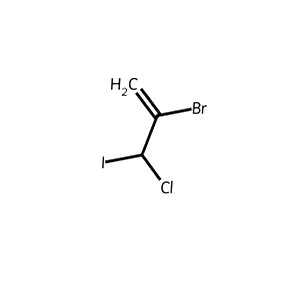 C=C(Br)C(Cl)I